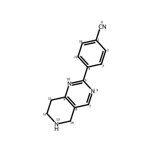 N#Cc1ccc(-c2ncc3c(n2)CCNC3)cc1